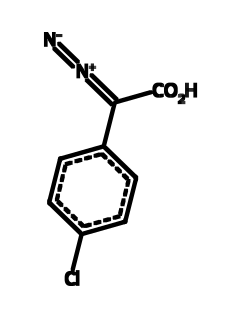 [N-]=[N+]=C(C(=O)O)c1ccc(Cl)cc1